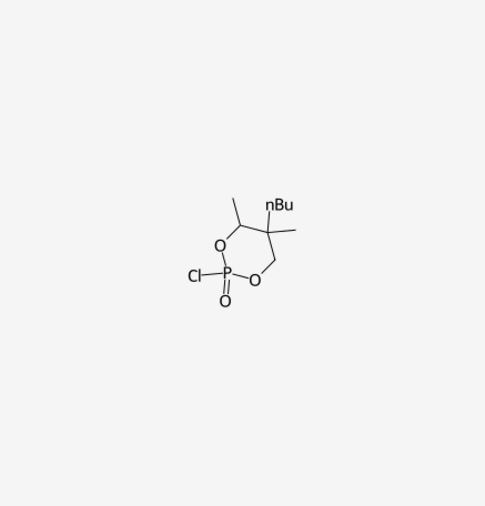 CCCCC1(C)COP(=O)(Cl)OC1C